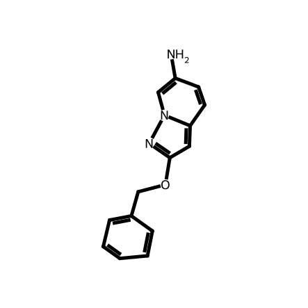 Nc1ccc2cc(OCc3ccccc3)nn2c1